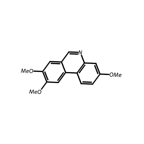 COc1ccc2c(c1)ncc1cc(OC)c(OC)cc12